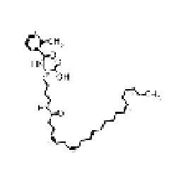 CC/C=C\C/C=C\CC=CCC=CC/C=C\C/C=C\CCC(=O)NCCCC[C@H](NC(=O)c1cccnc1C)C(=O)O